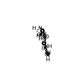 Nc1ccc2nc(C(=O)NCc3cccc(NC(=O)CCc4nc[nH]n4)c3)[nH]c(=O)c2c1